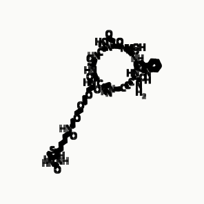 C[C@@H]1NC(=O)[C@@H](NC(=O)COCCOCCOCCNC(=O)CCCCC2SC[C@H]3NC(=O)N[C@@H]23)Cc2cn(nn2)CCCC[C@@H](C(N)=O)NC(=O)[C@H](Cc2c[nH]c3ccccc23)NC(=O)[C@H](CO)NC(=O)[C@H](CC(=O)O)NC(=O)CNC1=O